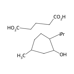 CC1CCC(C(C)C)C(O)C1.O=C(O)CCCC(=O)O